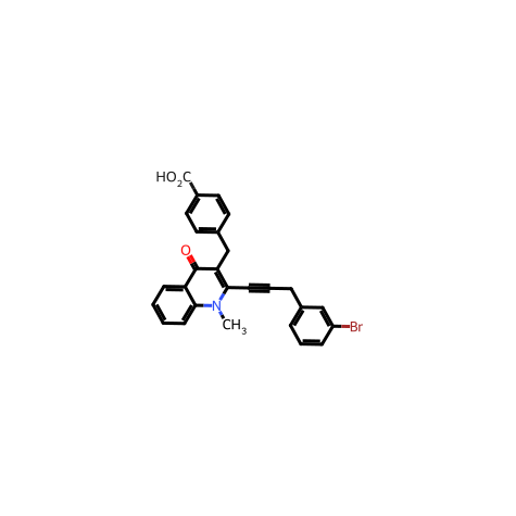 Cn1c(C#CCc2cccc(Br)c2)c(Cc2ccc(C(=O)O)cc2)c(=O)c2ccccc21